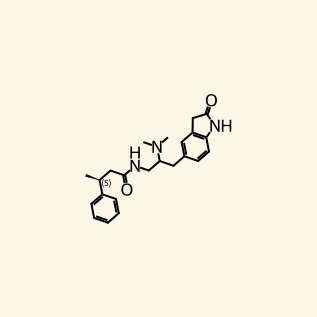 C[C@@H](CC(=O)NCC(Cc1ccc2c(c1)CC(=O)N2)N(C)C)c1ccccc1